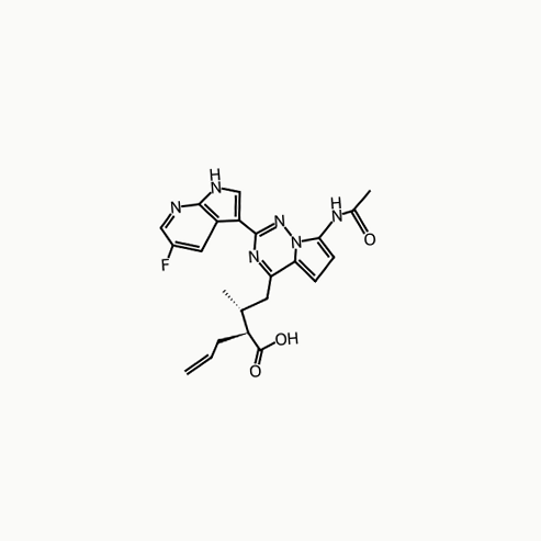 C=CC[C@H](C(=O)O)[C@H](C)Cc1nc(-c2c[nH]c3ncc(F)cc23)nn2c(NC(C)=O)ccc12